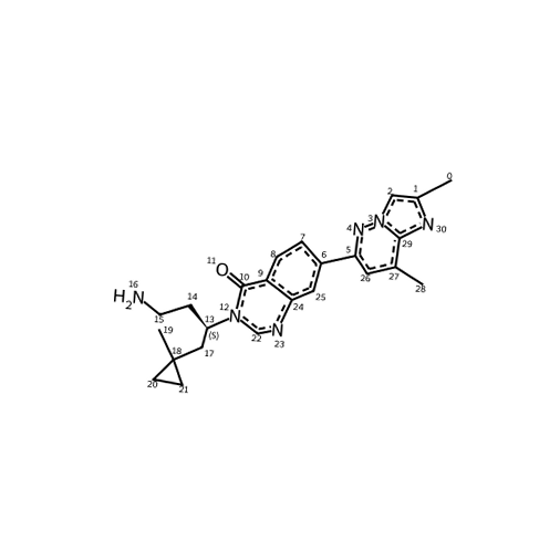 Cc1cn2nc(-c3ccc4c(=O)n([C@H](CCN)CC5(C)CC5)cnc4c3)cc(C)c2n1